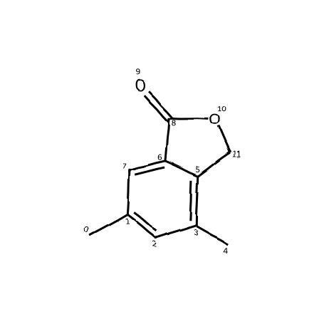 Cc1cc(C)c2c(c1)C(=O)OC2